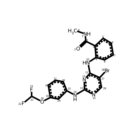 CNC(=O)c1ccccc1Nc1nc(Nc2cccc(OC(F)F)c2)ncc1Br